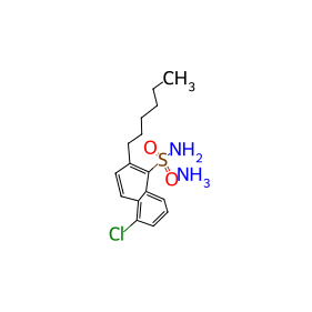 CCCCCCc1ccc2c(Cl)cccc2c1S(N)(=O)=O.N